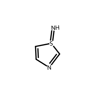 N=S1C=CN=C1